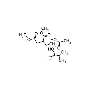 CC(=O)O.CC(C)C(=O)O.CCC(CC(=O)OC)C(=O)OC